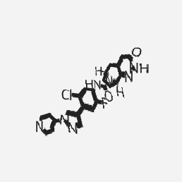 O=C(Nc1cc(Cl)c(-c2cnn(-c3ccncc3)c2)cc1F)N1[C@H]2CC[C@@H]1c1n[nH]c(=O)cc1C2